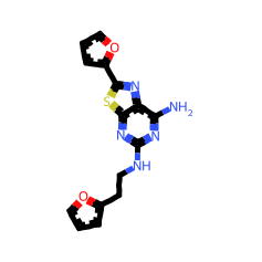 Nc1nc(NCCc2ccco2)nc2sc(-c3ccco3)nc12